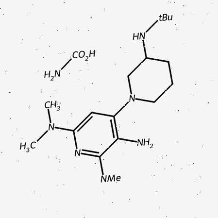 CNc1nc(N(C)C)cc(N2CCCC(NC(C)(C)C)C2)c1N.NC(=O)O